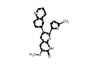 COc1cc2cc(-c3ccc4ncccc4c3)c(-c3ccc(C)s3)nc2[nH]c1=O